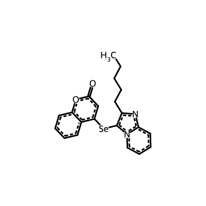 CCCCCc1nc2ccccn2c1[Se]c1cc(=O)oc2ccccc12